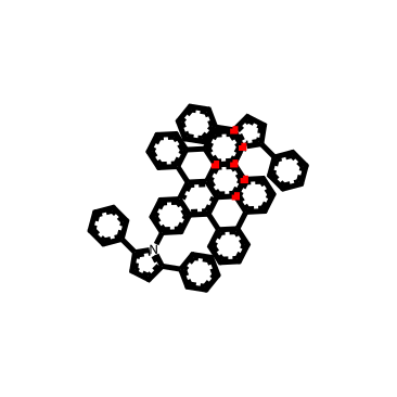 c1ccc(-c2ccccc2-c2c3ccc(-n4c(-c5ccccc5)ccc4-c4ccccc4)cc3c(-c3ccccc3-c3ccccc3)c3ccc(-n4c(-c5ccccc5)ccc4-c4ccccc4)cc23)cc1